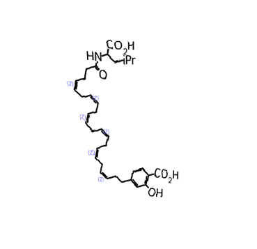 CC(C)CC(NC(=O)CC/C=C\C/C=C\C/C=C\C/C=C\C/C=C\C/C=C\CCc1ccc(C(=O)O)c(O)c1)C(=O)O